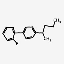 CCCC(C)c1ccc(-c2ccccc2F)cc1